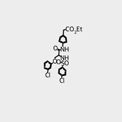 CCOC(=O)Cc1ccc(NC(=O)C(COc2cccc(Cl)c2)NS(=O)(=O)c2ccc(Cl)cc2)cc1